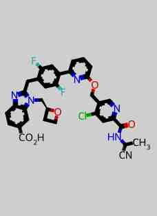 CC(C#N)NC(=O)c1cc(Cl)c(COc2cccc(-c3cc(F)c(Cc4nc5ccc(C(=O)O)cc5n4C[C@@H]4CCO4)cc3F)n2)cn1